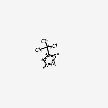 ClC(Cl)(Cl)c1cnns1